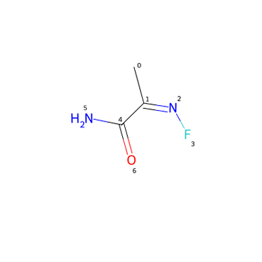 C/C(=N/F)C(N)=O